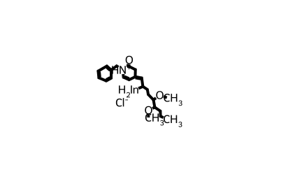 CCCC(OC)C(CC[CH]([InH2])C=C1C=C[NH+](Cc2ccccc2)C(=O)C1)OC.[Cl-]